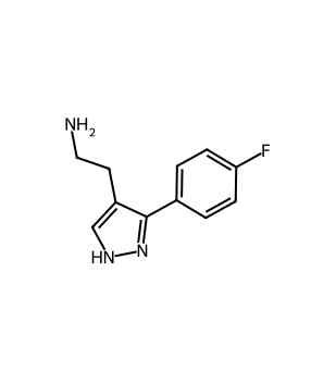 NCCc1c[nH]nc1-c1ccc(F)cc1